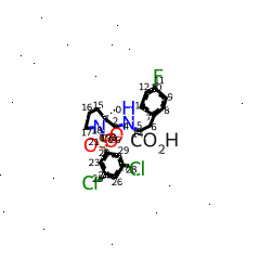 C[C@@]1(C(=O)NC(Cc2ccc(F)cc2)C(=O)O)CCCN1S(=O)(=O)c1cc(Cl)cc(Cl)c1